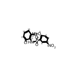 COc1ccc([N+](=O)[O-])cc1S(=O)(=O)Nc1c(Cl)cccc1Cl